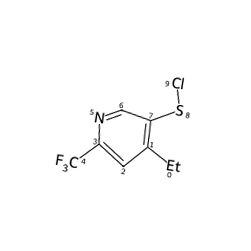 CCc1cc(C(F)(F)F)ncc1SCl